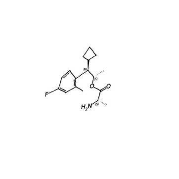 Cc1cc(F)ccc1[C@@H](C1CCC1)[C@H](C)OC(=O)[C@H](C)N